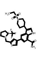 CCS(=O)(=O)N1CCC(c2c[nH]c3c(C(N)=O)cc(-c4csc(CN5CCC[C@H]5C(F)(F)F)c4)cc23)CC1